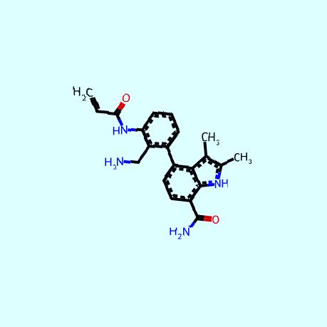 C=CC(=O)Nc1cccc(-c2ccc(C(N)=O)c3[nH]c(C)c(C)c23)c1CN